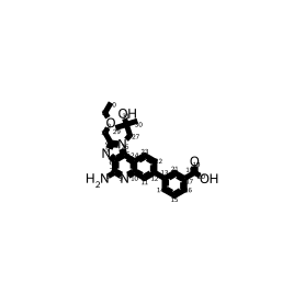 CCOCc1nc2c(N)nc3cc(-c4cccc(C(=O)O)c4)ccc3c2n1CC(C)(C)O